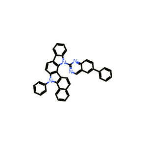 c1ccc(-c2ccc3nc(-n4c5ccccc5c5ccc6c(c7ccc8ccccc8c7n6-c6ccccc6)c54)ncc3c2)cc1